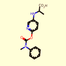 CC(Nc1ccc(OC(=O)N(C)c2ccccc2)nc1)C(=O)O